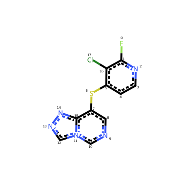 Fc1nccc(Sc2cncn3cnnc23)c1Cl